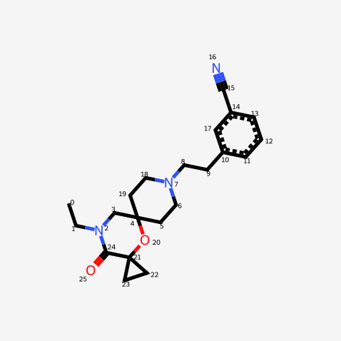 CCN1CC2(CCN(CCc3cccc(C#N)c3)CC2)OC2(CC2)C1=O